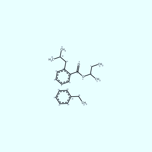 CCC(C)OC(=O)c1ccccc1CC(C)C.CCc1ccccc1